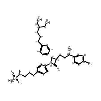 CS(=O)(=O)NCCCc1ccc(N2C(=O)C(CC[C@H](O)c3ccc(F)cc3)[C@H]2c2ccc(CCCC(CO)CO)cc2)cc1